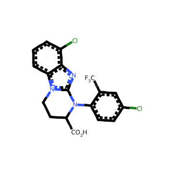 O=C(O)C1CCn2c(nc3c(Cl)cccc32)N1c1ccc(Cl)cc1C(F)(F)F